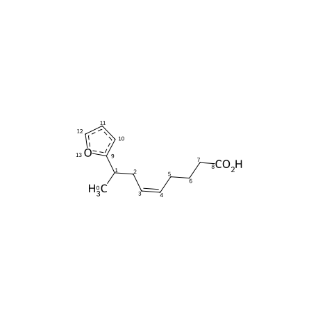 CC(C/C=C\CCCC(=O)O)c1ccco1